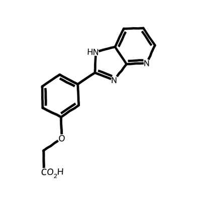 O=C(O)COc1cccc(-c2nc3ncccc3[nH]2)c1